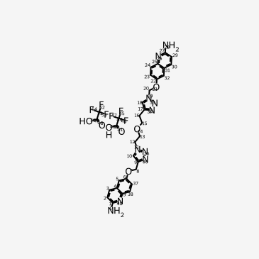 Nc1ccc2cc(OCc3cn(CCOCCc4cn(COc5ccc6nc(N)ccc6c5)nn4)nn3)ccc2n1.O=C(O)C(F)(F)F.O=C(O)C(F)(F)F